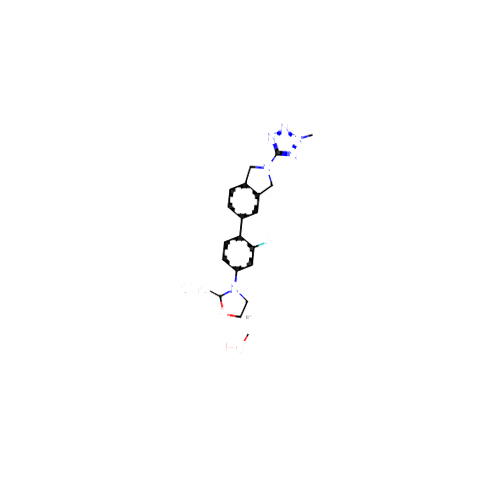 Cn1nnc(N2Cc3ccc(-c4ccc(N5C[C@H](CO)OC5C=O)cc4F)cc3C2)n1